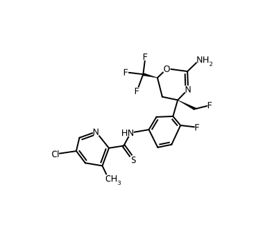 Cc1cc(Cl)cnc1C(=S)Nc1ccc(F)c([C@]2(CF)C[C@@H](C(F)(F)F)OC(N)=N2)c1